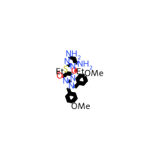 CCOc1nc(N(Cc2ccc(OC)cc2)Cc2ccc(OC)cc2)nc(OCC)c1Sc1nc(N)cc(N)n1